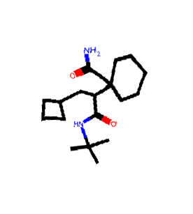 CC(C)(C)NC(=O)C(CC1CCC1)C1(C(N)=O)CCCCC1